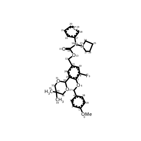 COc1ccc(COc2c(F)cc(COC(=O)N(c3ccccc3)N3CCCC3)cc2C2OCC(C)(C)CO2)cc1